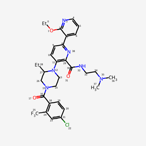 CCOc1ncccc1-c1ccc(N2CCN(C(=O)c3ccc(Cl)cc3C(F)(F)F)CC2CC)c(C(=O)NCCN(C)C)n1